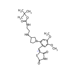 COc1cc(/C=C2/SC(=O)NC2=O)c(N2CCC(NCCNC(=O)OC(C)(C)C)C2)cc1OC